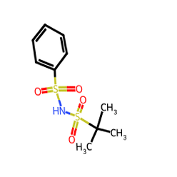 CC(C)(C)S(=O)(=O)NS(=O)(=O)c1ccccc1